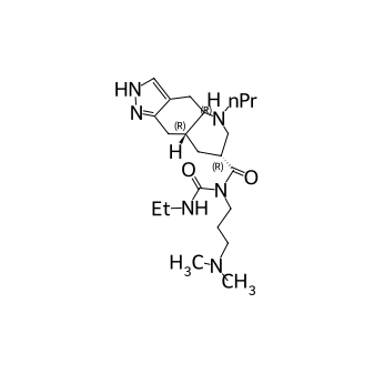 CCCN1C[C@H](C(=O)N(CCCN(C)C)C(=O)NCC)C[C@@H]2Cc3n[nH]cc3C[C@H]21